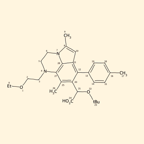 CCOCCN1CCn2c(C)cc3c(-c4ccc(C)cc4)c(C(OC(C)(C)C)C(=O)O)c(C)c1c32